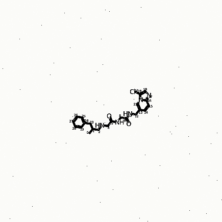 CC(CNCC(=O)NCC(=O)NCc1ccc2ncc(Cl)n2c1)Cc1ccccc1